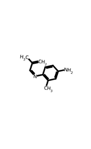 C=C(C)/C=N\c1ccc(N)cc1C